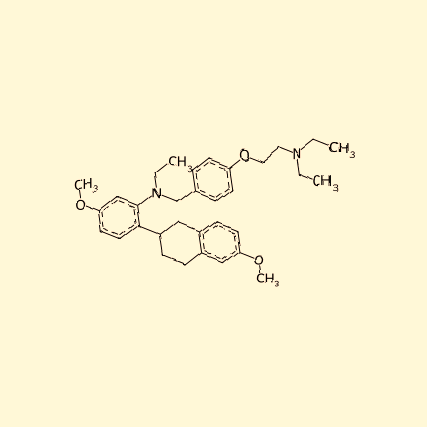 CCN(CC)CCOc1ccc(CN(CC)c2cc(OC)ccc2C2CCc3cc(OC)ccc3C2)cc1